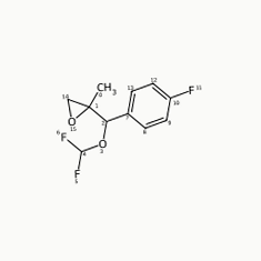 CC1(C(OC(F)F)c2ccc(F)cc2)CO1